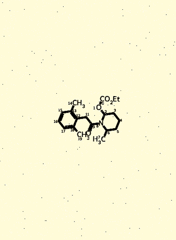 CCOC(=O)OC1CCCC(C)N1C(=O)Cc1c(C)cccc1C